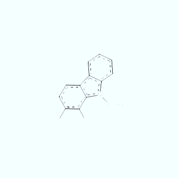 CCCCCCn1c2ccccc2c2ccc(Br)c(Br)c21